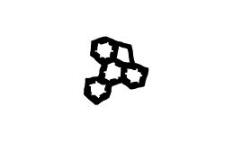 c1ccc2c(c1)c1cccc3c1c1c(cccc21)C3